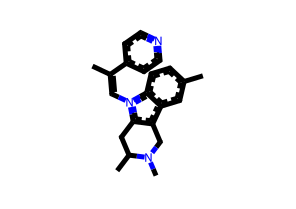 C/C(=C/n1c2c(c3cc(C)ccc31)CN(C)C(C)C2)c1ccncc1